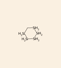 C1[SiH2][SiH2][SiH2][SiH2][SiH2]1